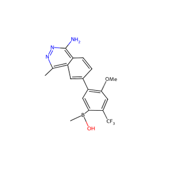 COc1cc(C(F)(F)F)c(B(C)O)cc1-c1ccc2c(N)nnc(C)c2c1